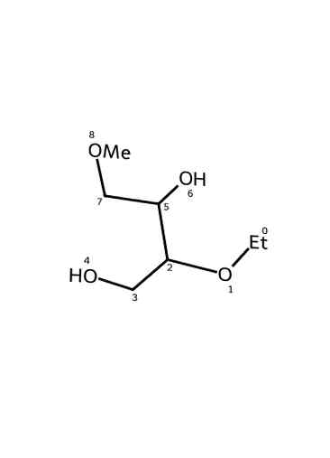 CCOC(CO)C(O)COC